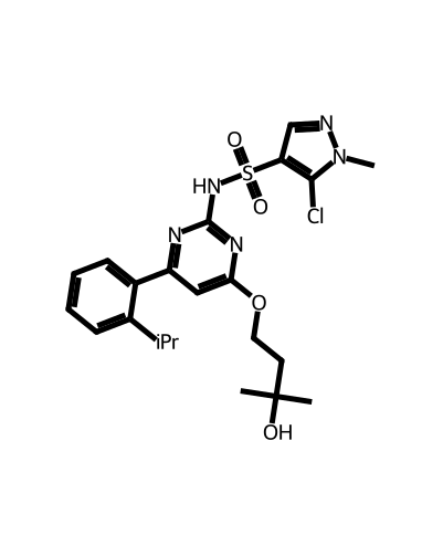 CC(C)c1ccccc1-c1cc(OCCC(C)(C)O)nc(NS(=O)(=O)c2cnn(C)c2Cl)n1